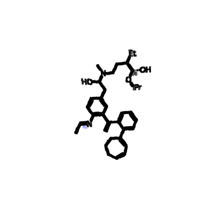 C=C(c1cc(CC(O)N(C)CCC(CC)[C@H](O)OC(C)C)ccc1/N=C/C)c1ccccc1C1=CC=CCCC1